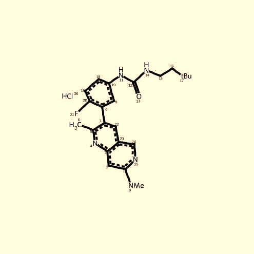 CNc1cc2nc(C)c(-c3cc(NC(=O)NCCC(C)(C)C)ccc3F)cc2cn1.Cl